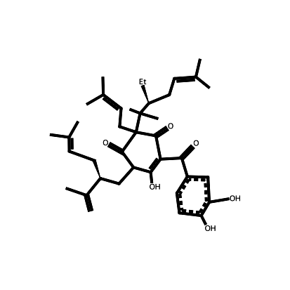 C=C(C)[C@@H](CC=C(C)C)CC1C(=O)C(CC=C(C)C)(C(C)(C)[C@@H](CC)CC=C(C)C)C(=O)C(C(=O)c2ccc(O)c(O)c2)=C1O